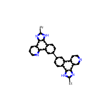 CCc1nc2c3cnccc3c3cc(-c4ccc5c(c4)c4ncccc4c4nc(C(C)C)[nH]c54)ccc3c2[nH]1